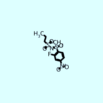 CCCS(=O)(=O)N=S(C)(=O)c1ccc([N+](=O)[O-])cc1F